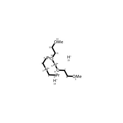 CC(C)[CH2][Al+][CH2]C(C)C.COCC[O][Al+][O]CCOC.[H-].[H-]